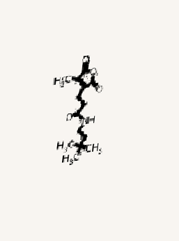 CC1=C(CCC(=O)NCCC(C)(C)C)C(=O)OC1=O